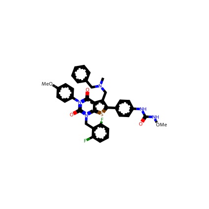 CONC(=O)Nc1ccc(-c2sc3c(c2CN(C)Cc2ccccc2)c(=O)n(-c2ccc(OC)cc2)c(=O)n3Cc2c(F)cccc2F)cc1